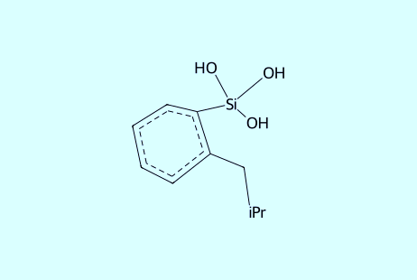 CC(C)Cc1ccccc1[Si](O)(O)O